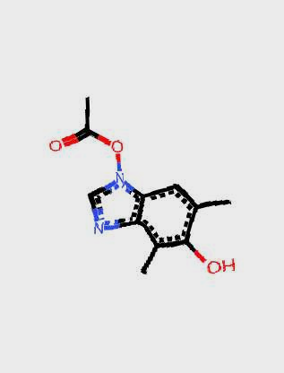 CC(=O)On1cnc2c(C)c(O)c(C)cc21